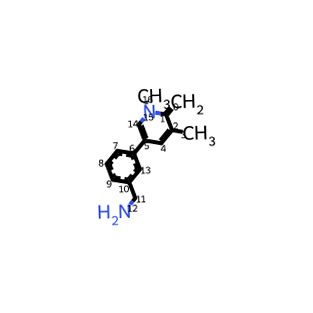 C=C1C(C)=CC(c2cccc(CN)c2)=CN1C